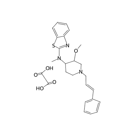 COC1CN(C/C=C/c2ccccc2)CCC1N(C)c1nc2ccccc2s1.O=C(O)C(=O)O